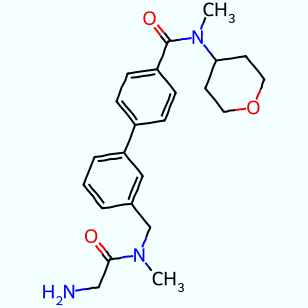 CN(Cc1cccc(-c2ccc(C(=O)N(C)C3CCOCC3)cc2)c1)C(=O)CN